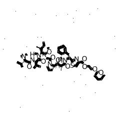 CC[C@H](C)[C@@H]([C@@H](CC(=O)N1CCC[C@H]1[C@H](OC)[C@@H](C)C(=O)N[C@@H](Cc1ccccc1)c1nc(C(=O)OCCOC2CCCCO2)cs1)OC)N(C)C(=O)[C@@H](NC(=O)[C@H](C(C)C)N(C)C)C(C)C